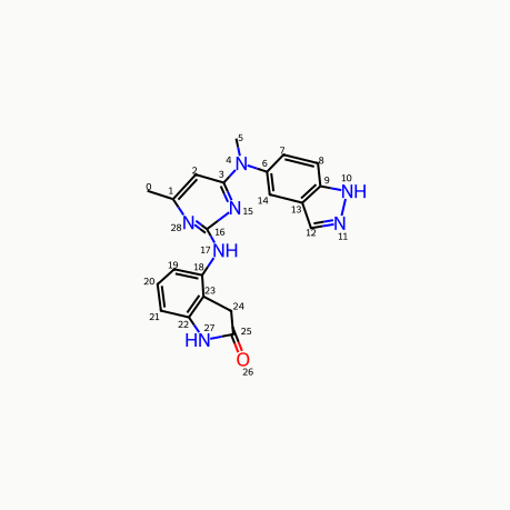 Cc1cc(N(C)c2ccc3[nH]ncc3c2)nc(Nc2cccc3c2CC(=O)N3)n1